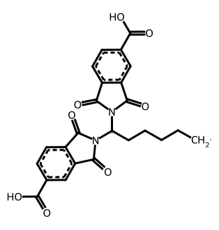 [CH2]CCCC[C](N1C(=O)c2ccc(C(=O)O)cc2C1=O)N1C(=O)c2ccc(C(=O)O)cc2C1=O